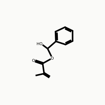 C=C(C)C(=O)OC(O)c1ccccc1